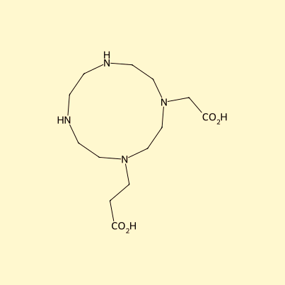 O=C(O)CCN1CCNCCNCCN(CC(=O)O)CC1